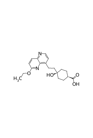 CCOc1ccc2nccc(CC[C@]3(O)CC[C@@H](C(=O)O)CC3)c2n1